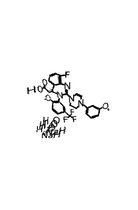 COc1cccc(N2CCN(C3=Nc4c(F)cccc4[C@H](CC(=O)O)N3c3cc(C(F)(F)F)ccc3OC)CC2)c1.O.O.O.[NaH].[NaH]